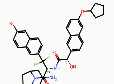 NC1CC2CCC(C1)N2C(=O)[C@@H](NC(=O)[C@@H](O)c1ccc2cc(OC3CCCC3)ccc2c1)C(F)(F)c1ccc2cc(Br)ccc2c1